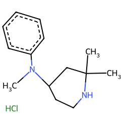 CN(c1ccccc1)C1CCNC(C)(C)C1.Cl